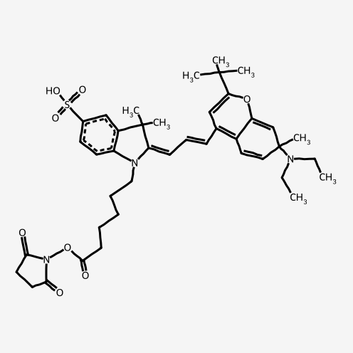 CCN(CC)C1(C)C=CC2=C(/C=C/C=C3/N(CCCCCC(=O)ON4C(=O)CCC4=O)c4ccc(S(=O)(=O)O)cc4C3(C)C)C=C(C(C)(C)C)OC2=C1